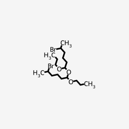 CCCOC(CCCC(C)Br)OC(CCCC(C)Br)OCCC